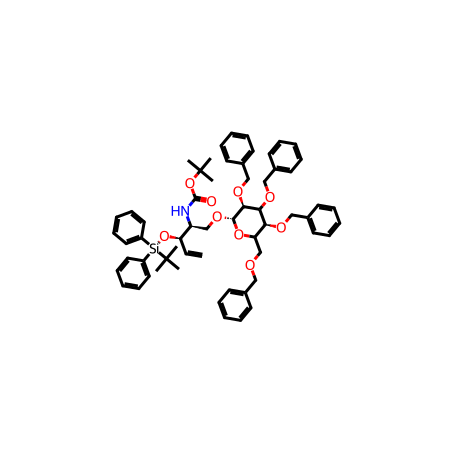 C=C[C@@H](O[Si](c1ccccc1)(c1ccccc1)C(C)(C)C)[C@H](CO[C@H]1OC(COCc2ccccc2)[C@H](OCc2ccccc2)C(OCc2ccccc2)[C@@H]1OCc1ccccc1)NC(=O)OC(C)(C)C